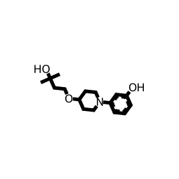 CC(C)(O)CCOC1CCN(c2cccc(O)c2)CC1